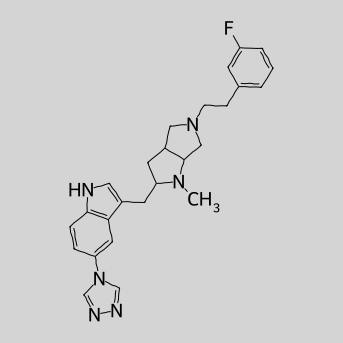 CN1C(Cc2c[nH]c3ccc(-n4cnnc4)cc23)CC2CN(CCc3cccc(F)c3)CC21